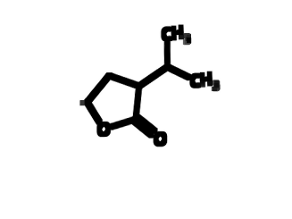 CC(C)C1C[CH]OC1=O